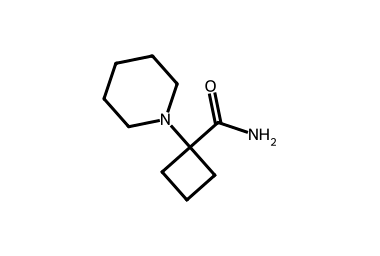 NC(=O)C1(N2CCCCC2)CCC1